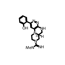 CNC(=N)N1CCN2c3cc(-c4ccccc4O)nnc3NC[C@@H]2C1